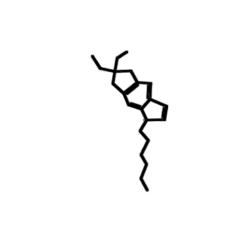 CCCCCC[C]1C=Cc2cc3c(cc21)CC(CC)(CC)C3